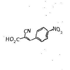 N#C/C(=C\c1ccc([N+](=O)[O-])cc1)C(=O)O